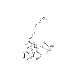 NCCCCCCCCCN1CC[C@@H](C(C(N)=O)(c2ccccc2)c2ccccc2)C1.O=C(O)C(F)(F)F